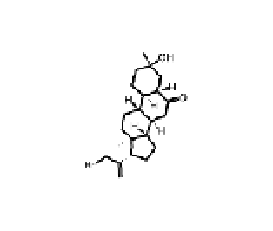 C=C(CBr)[C@H]1CC[C@H]2[C@@H]3CC(=O)[C@H]4C[C@@](C)(O)CC[C@@H]4[C@H]3CC[C@]12C